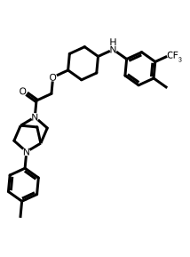 Cc1ccc(N2CC3CC2CN3C(=O)COC2CCC(Nc3ccc(C)c(C(F)(F)F)c3)CC2)cc1